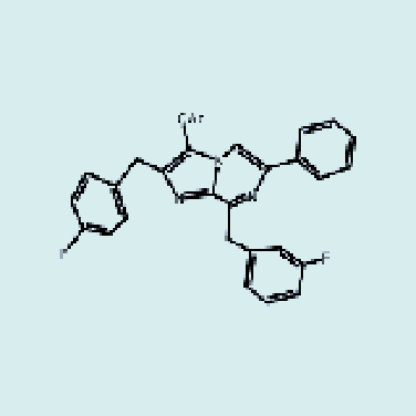 CC(=O)Oc1c(Cc2ccc(F)cc2)nc2c(Cc3cccc(F)c3)nc(-c3ccccc3)cn12